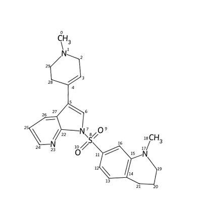 CN1CC=C(c2cn(S(=O)(=O)c3ccc4c(c3)N(C)CCC4)c3ncccc23)CC1